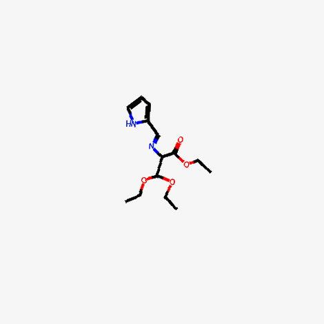 CCOC(=O)C(N=Cc1ccc[nH]1)C(OCC)OCC